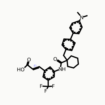 CN(C)c1ccc(-c2ccc(CC3(C(=O)Nc4cc(/C=C/C(=O)O)cc(C(F)(F)F)c4)CCCCC3)cc2)cc1